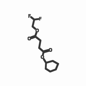 O=C(CCC(=O)OC1CCCCC1)OCC(F)F